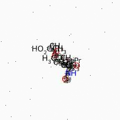 CC(C)C1=C2[C@H]3CCC4[C@@]5(C)CC[C@H](OC(=O)CC(C)(C)C(=O)O)C(C)(C)C5CC[C@@]4(C)[C@]3(C)CC[C@@]2(CCNCC2CCCO2)CC1=O